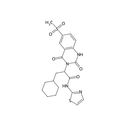 CS(=O)(=O)c1ccc2[nH]c(=O)n(C(CC3CCCCC3)C(=O)Nc3nccs3)c(=O)c2c1